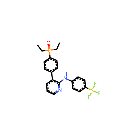 CCP(=O)(CC)c1ccc(-c2cccnc2Nc2ccc(S(F)(F)F)cc2)cc1